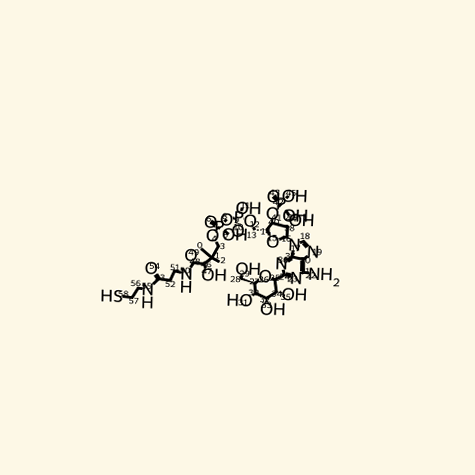 CC(C)(COP(=O)(O)OP(=O)(O)OC[C@H]1O[C@@H](n2cnc3c(N)nc(C4O[C@H](CO)[C@H](O)[C@H](O)[C@H]4O)nc32)[C@H](O)[C@@H]1OP(=O)(O)O)C(O)C(=O)NCCC(=O)NCCS